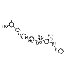 O=C(NS(=O)(=O)c1ccc(NCCSc2ccccc2)c(C(F)(F)F)c1)c1ccc(N2CCN(Cc3cc(-c4cncc(O)c4)cs3)CC2)nn1